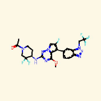 COc1nc(N[C@@H]2CCN(C(C)=O)CC2(F)F)nn2cc(F)c(-c3ccc4nnn(CC(F)(F)F)c4c3)c12